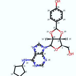 OC[C@H]1OC(n2cnc3c(NC4CCCC4)ncnc32)[C@@H]2OC(c3ccc(O)cc3)O[C@H]12